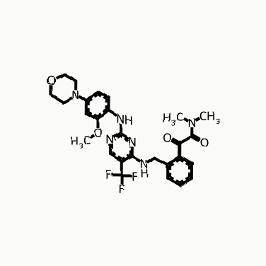 COc1cc(N2CCOCC2)ccc1Nc1ncc(C(F)(F)F)c(NCc2ccccc2C(=O)C(=O)N(C)C)n1